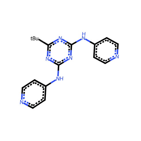 CC(C)(C)c1nc(Nc2ccncc2)nc(Nc2ccncc2)n1